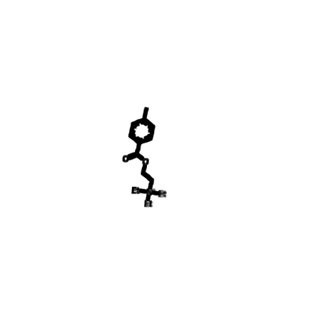 CC[N+](CC)(CC)CCOC(=O)c1ccc(C)cc1